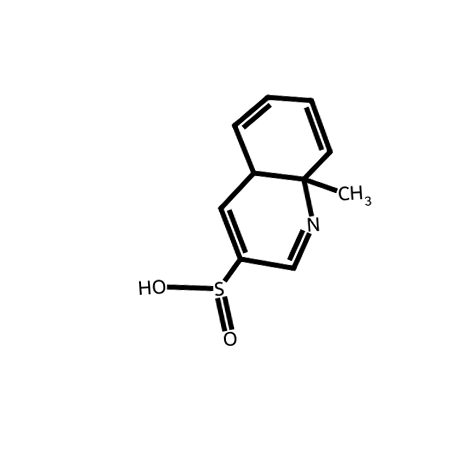 CC12C=CC=CC1C=C(S(=O)O)C=N2